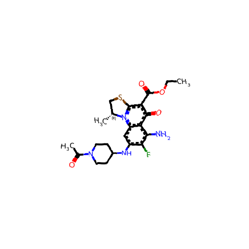 CCOC(=O)c1c2n(c3cc(NC4CCN(C(C)=O)CC4)c(F)c(N)c3c1=O)[C@H](C)CS2